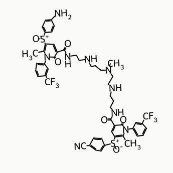 Cc1c([S+]([O-])c2ccc(C#N)cc2)cc(C(=O)NCCCNCCN(C)CCCNCCNC(=O)c2cc([S+]([O-])c3ccc(N)cc3)c(C)n(-c3cccc(C(F)(F)F)c3)c2=O)c(=O)n1-c1cccc(C(F)(F)F)c1